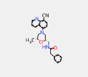 C[C@@H]1CN(c2ccc(C#N)c3ncccc23)C[C@H](CNC(=O)Cc2ccccc2)O1